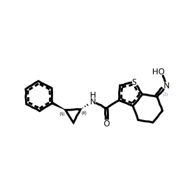 O=C(N[C@@H]1C[C@H]1c1ccccc1)c1csc2c1CCC/C2=N/O